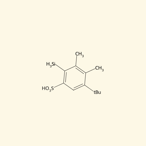 Cc1c(C(C)(C)C)cc(S(=O)(=O)O)c([SiH3])c1C